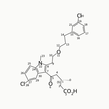 C[C@H](CC(=O)O)CC(=O)c1c(CCOCCCc2cccc(Cl)c2)n(C)c2ccc(Cl)cc12